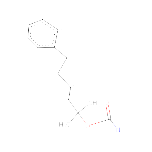 CC(C)(CCCCc1ccccc1)OC(N)=O